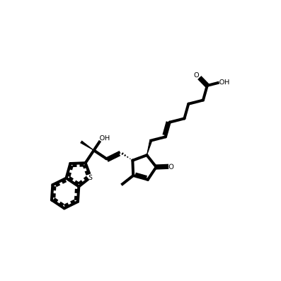 CC1=CC(=O)[C@H](CC=CCCCC(=O)O)[C@H]1C=C[C@@](C)(O)c1cc2ccccc2s1